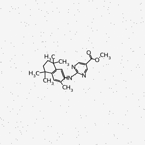 COC(=O)c1cnc(Nc2cc3c(cc2C)C(C)(C)CCC3(C)C)nc1